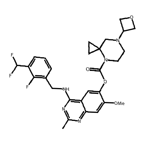 COc1cc2nc(C)nc(NCc3cccc(C(F)F)c3F)c2cc1OC(=O)N1CCN(C2COC2)CC12CC2